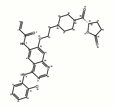 C=CC(=O)Nc1cc2c(Nc3ccccc3Cl)ncnc2cc1OCCN1CCN(C(=O)[C@@H]2CCC(=O)O2)CC1